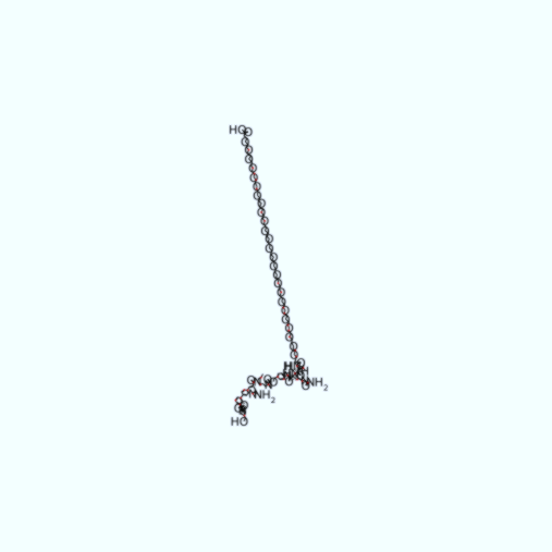 CCCN(CCCN(C)C(=O)OCc1ccc(NC(=O)[C@H](CCCNC(N)=O)NC(=O)[C@@H](NC(=O)CCOCCOCCOCCOCCOCCOCCOCCOCCOCCOCCOCCOCCOCCOCCOCCOCCOCCOCCOCCOCCOCCOCCOCCOCCOCCC(=O)O)C(C)C)cc1)C(=O)C1=Cc2ccc(-c3cccc(S(=O)(=O)N4CC(CO)C4)c3)cc2N=C(N)C1